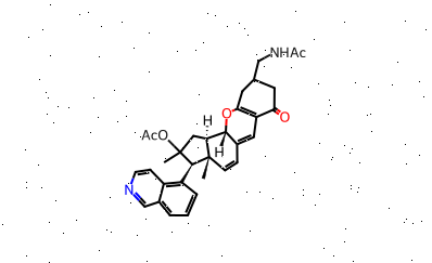 CC(=O)NCC1CC(=O)C2=C(C1)O[C@@H]1C(=C2)C=C[C@@]2(C)[C@H]1CC(C)(OC(C)=O)[C@@H]2c1cccc2cnccc12